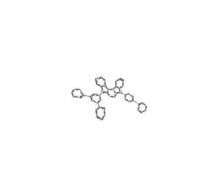 c1ccc(-c2ccc(-n3c4ccccc4c4c5c6ccccc6n(-c6cc(-c7ccccc7)cc(-c7ccccc7)c6)c5ccc43)cc2)cc1